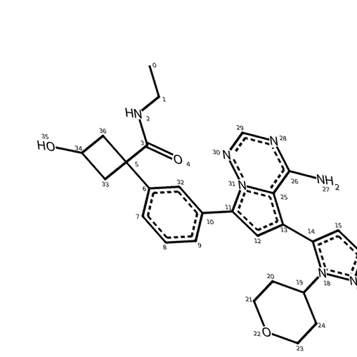 CCNC(=O)C1(c2cccc(-c3cc(-c4ccnn4C4CCOCC4)c4c(N)ncnn34)c2)CC(O)C1